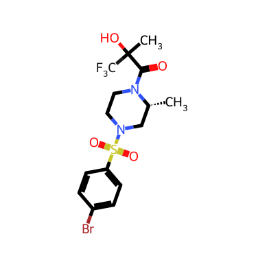 C[C@@H]1CN(S(=O)(=O)c2ccc(Br)cc2)CCN1C(=O)C(C)(O)C(F)(F)F